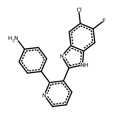 Nc1ccc(-c2ncccc2-c2nc3cc(Cl)c(F)cc3[nH]2)cc1